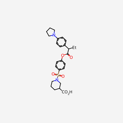 CCC(C(=O)Oc1ccc(S(=O)(=O)N2CCCC(C(=O)O)C2)cc1)c1ccc(N2CCCC2)cc1